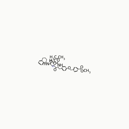 COC(=O)c1ccc(COc2ccc(CC(NC(=O)OC(C)(C)C)C(=O)/C=C/C(=O)NC3CCCc4ccccc43)cc2)cc1